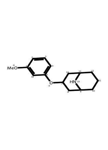 COc1cccc(OC2CC3CCCC(C2)N3)c1